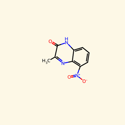 Cc1nc2c([N+](=O)[O-])cccc2[nH]c1=O